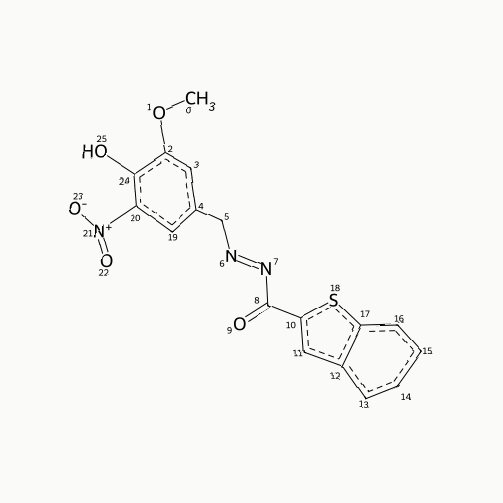 COc1cc(C/N=N/C(=O)c2cc3ccccc3s2)cc([N+](=O)[O-])c1O